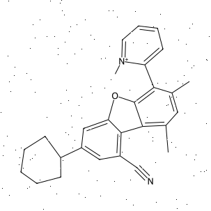 Cc1cc(C)c2c(oc3cc(C4CCCCC4)cc(C#N)c32)c1-c1cccc[n+]1C